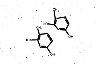 Cc1ccc(O)cc1O.Cc1ccc(O)cc1O